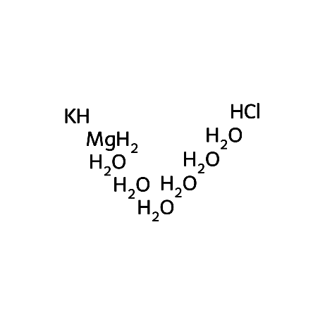 Cl.O.O.O.O.O.O.[KH].[MgH2]